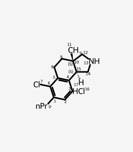 CCCc1ccc2c(c1Cl)CC[C@]1(C)CNC[C@@H]21.Cl